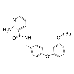 CCCCOc1cccc(Oc2ccc(CNC(=O)c3cccnc3N)cc2)c1